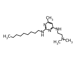 CCCCCCCCCNc1nc(C)cc(NCCN(C)C)n1